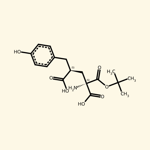 CC(C)(C)OC(=O)[C@](N)(C[C@H](Cc1ccc(O)cc1)C(=O)O)C(=O)O